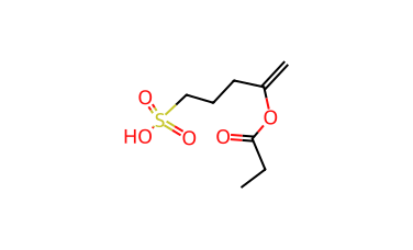 C=C(CCCS(=O)(=O)O)OC(=O)CC